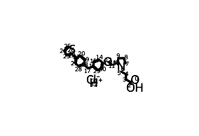 O=C(O)CCCN1CCC[C@@H]1COc1ccc(Cc2ccc(-c3cccs3)cc2)cc1.[Cl-].[H+]